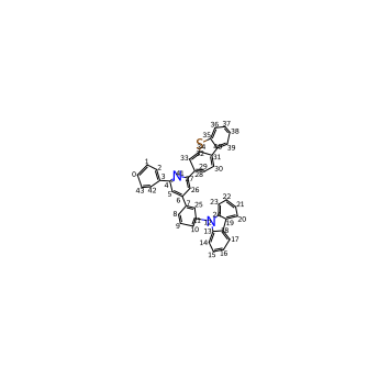 c1ccc(-c2cc(-c3cccc(-n4c5ccccc5c5ccccc54)c3)cc(-c3ccc4c(c3)sc3ccccc34)n2)cc1